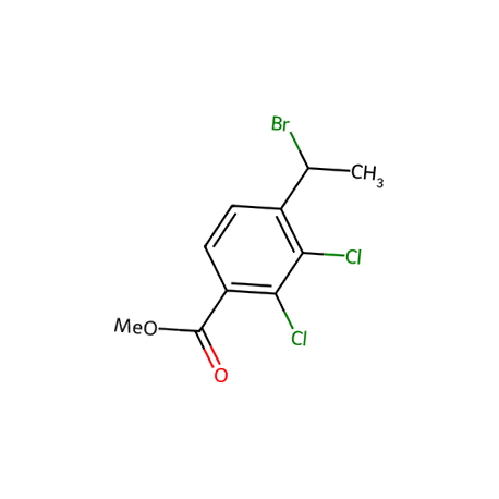 COC(=O)c1ccc(C(C)Br)c(Cl)c1Cl